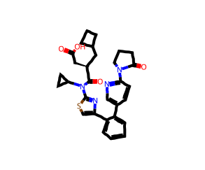 O=C(O)C[C@@H](CC1CCC1)C(=O)N(c1nc(-c2ccccc2-c2ccc(N3CCCC3=O)nc2)cs1)C1CC1